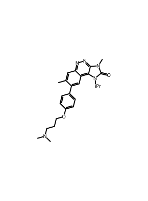 Cc1cc2nnc3c(c2cc1-c1ccc(OCCCN(C)C)cc1)n(C(C)C)c(=O)n3C